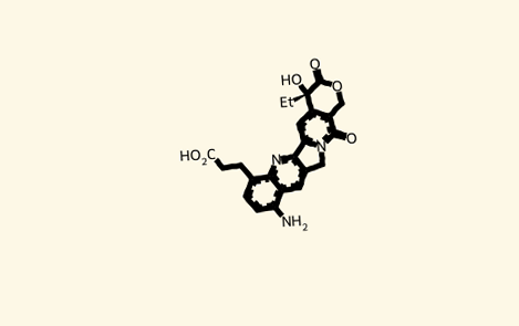 CC[C@@]1(O)C(=O)OCc2c1cc1n(c2=O)Cc2cc3c(N)ccc(CCC(=O)O)c3nc2-1